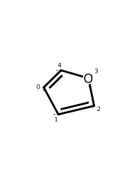 [c]1[c]co[c]1